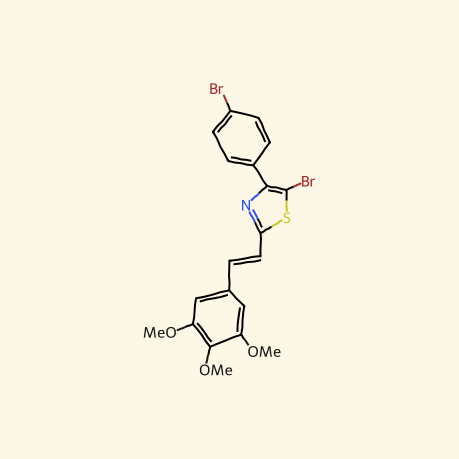 COc1cc(C=Cc2nc(-c3ccc(Br)cc3)c(Br)s2)cc(OC)c1OC